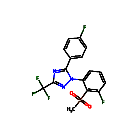 CS(=O)(=O)c1c(F)cccc1-n1nc(C(F)(F)F)nc1-c1ccc(F)cc1